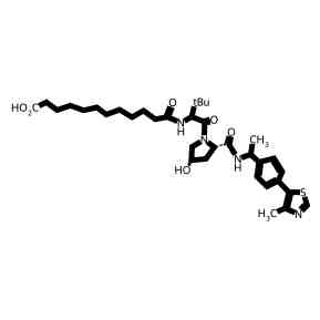 Cc1ncsc1-c1ccc(C(C)NC(=O)[C@@H]2C[C@@H](O)CN2C(=O)C(NC(=O)CCCCCCCCCCC(=O)O)C(C)(C)C)cc1